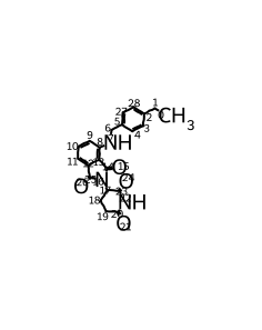 CCc1ccc(CNc2cccc3c2C(=O)N(C2CCC(=O)NC2=O)C3=O)cc1